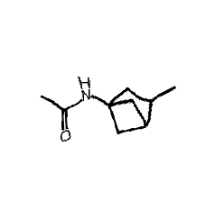 CC(=O)NC12CC(C)C(C1)C2